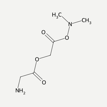 CN(C)OC(=O)COC(=O)CN